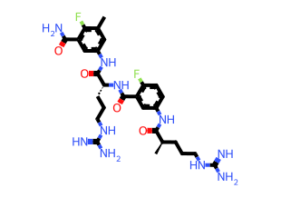 Cc1cc(NC(=O)[C@@H](CCCNC(=N)N)NC(=O)c2cc(NC(=O)[C@H](C)CCCNC(=N)N)ccc2F)cc(C(N)=O)c1F